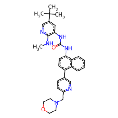 CNc1ncc(C(C)(C)C)cc1NC(=O)Nc1ccc(-c2ccc(CN3CCOCC3)nc2)c2ccccc12